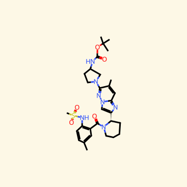 Cc1ccc(NS(C)(=O)=O)c(C(=O)N2CCCC[C@H]2c2cn3nc(N4CCC(NC(=O)OC(C)(C)C)C4)c(C)cc3n2)c1